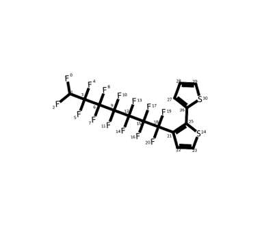 FC(F)C(F)(F)C(F)(F)C(F)(F)C(F)(F)C(F)(F)C(F)(F)c1ccsc1-c1cccs1